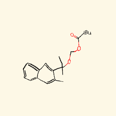 CCC(C)C(=O)OCOC(C)(C)c1cc2ccccc2cc1C